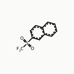 O=S(=O)(c1[c]c2ccccc2cc1)C(F)(F)F